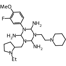 CCN1CCCC1CN1C(N)N(CCN2CCCCC2)C(N)N(c2ccc(OC)c(F)c2)C1N